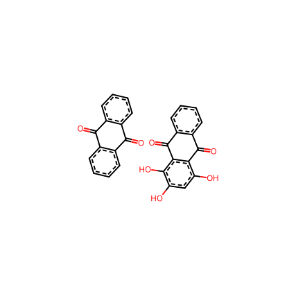 O=C1c2ccccc2C(=O)c2c(O)c(O)cc(O)c21.O=C1c2ccccc2C(=O)c2ccccc21